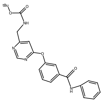 CC(C)(C)OC(=O)NCc1cc(Oc2cccc(C(=O)Nc3ccccc3)c2)ncn1